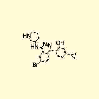 Oc1cc(C2CC2)ccc1-c1nnc(NC2CCCNC2)c2cc(Br)ccc12